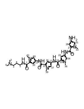 CN(C)CCCNC(=O)c1cc(NC(=O)c2cc(NC(=O)c3cc(NC(=O)c4cc(N)cn4C)cn3C)cn2C)cn1C